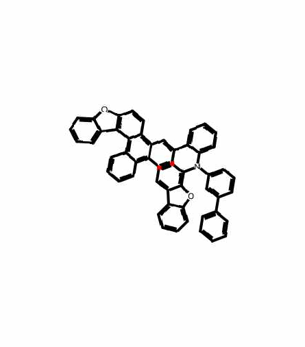 c1ccc(-c2cccc(N(c3ccccc3-c3ccc4c5ccccc5c5c(ccc6oc7ccccc7c65)c4c3)c3cccc4c3oc3ccccc34)c2)cc1